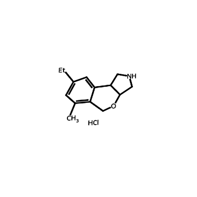 CCc1cc(C)c2c(c1)C1CNCC1OC2.Cl